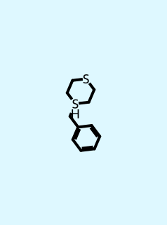 c1ccc(C[SH]2CCSCC2)cc1